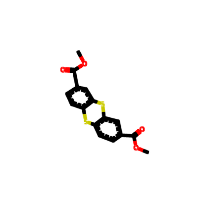 COC(=O)c1ccc2c(c1)Sc1cc(C(=O)OC)ccc1S2